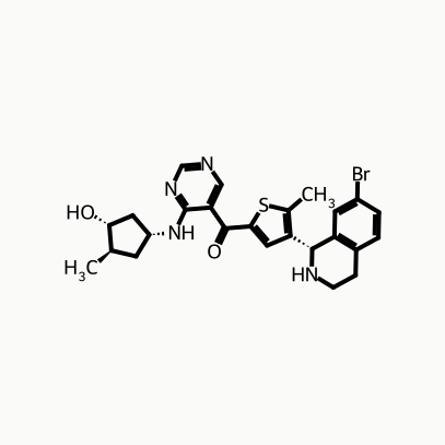 Cc1sc(C(=O)c2cncnc2N[C@@H]2C[C@@H](C)[C@H](O)C2)cc1[C@H]1NCCc2ccc(Br)cc21